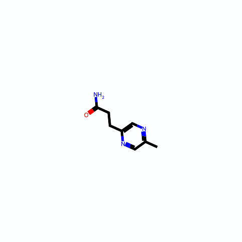 Cc1cnc(CCC(N)=O)cn1